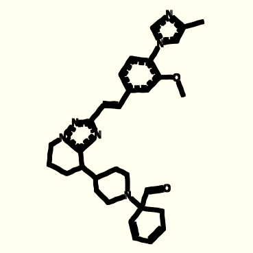 COc1cc(C=Cc2nc3n(n2)CCCC3C2CCN(C3(C=O)C=CC=CC3)CC2)ccc1-n1cnc(C)c1